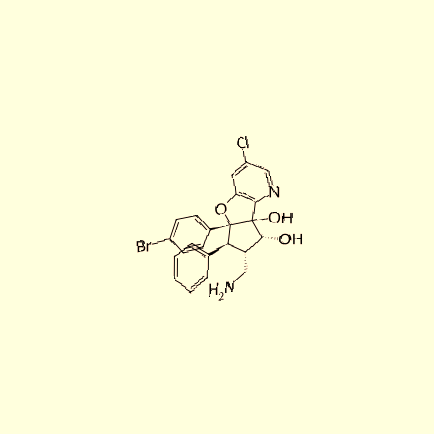 NC[C@H]1[C@@H](O)C2(O)c3ncc(Cl)cc3O[C@@]2(c2ccc(Br)cc2)[C@@H]1c1ccccc1